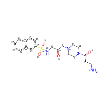 NCCC(=O)N1CCN(CC(=O)CNS(=O)(=O)c2ccc3ccccc3c2)CC1